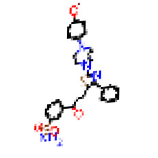 COc1ccc(N2CCN(c3nc(-c4ccccc4)c(CCC(=O)c4cccc(S(N)(=O)=O)c4)s3)CC2)cc1